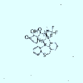 CC#Cc1cccc2c1[C@H](N1CN([C@H](C)C(F)(F)F)C(=O)c3c(O)c(=O)ccn31)c1ccccc1SC2